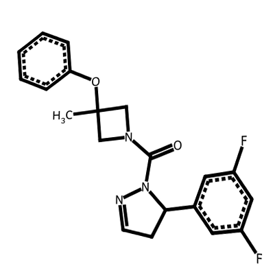 CC1(Oc2ccccc2)CN(C(=O)N2N=CCC2c2cc(F)cc(F)c2)C1